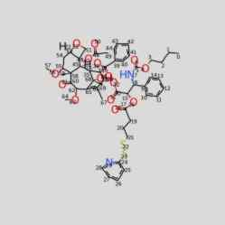 CCCCOC(=O)N[C@@H](c1ccccc1)[C@@H](OC(=O)CCCSSc1ccccn1)C(=O)O[C@H]1C[C@]2(OC(=O)c3ccccc3)[C@@H]3[C@]4(OC(C)=O)CO[C@@H]4C[C@H](OC)[C@@]3(C)C(=O)[C@H](OC)C(=C1C)[C@@]2(C)O